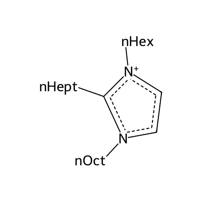 CCCCCCCCn1cc[n+](CCCCCC)c1CCCCCCC